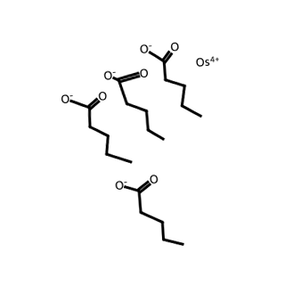 CCCCC(=O)[O-].CCCCC(=O)[O-].CCCCC(=O)[O-].CCCCC(=O)[O-].[Os+4]